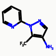 Nc1cnn(-c2ccccn2)c1C(F)(F)F